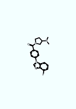 CN(C)C1CCN(C(=O)c2ccc(-n3cnc4c(F)cccc43)cc2)C1